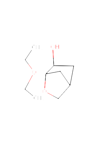 CCOCC.OC1CC2COC1C2